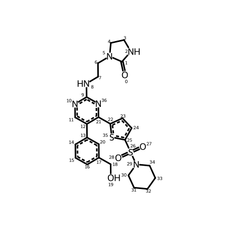 O=C1NCCN1CCNc1ncc(-c2cccc(CO)c2)c(-c2ccc(S(=O)(=O)N3CCCCC3)s2)n1